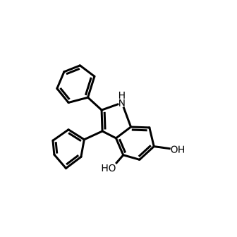 Oc1cc(O)c2c(-c3ccccc3)c(-c3ccccc3)[nH]c2c1